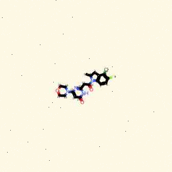 CC1Cc2c(ccc(F)c2Cl)N1C(=O)Cc1nc(N2CCOCC2)cc(=O)[nH]1